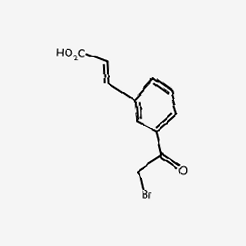 O=C(O)/C=C/c1cccc(C(=O)CBr)c1